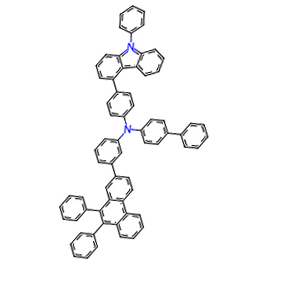 c1ccc(-c2ccc(N(c3ccc(-c4cccc5c4c4ccccc4n5-c4ccccc4)cc3)c3cccc(-c4ccc5c(c4)c(-c4ccccc4)c(-c4ccccc4)c4ccccc45)c3)cc2)cc1